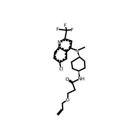 C=CCOCCC(=O)N[C@H]1CC[C@@H](N(C)c2cc(C(F)(F)F)nc3ccc(Cl)cc23)CC1